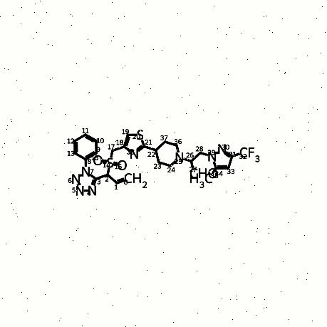 C=CC(c1nnnn1-c1ccccc1)S(=O)(=O)Cc1csc(C2CCN(C(C=O)Cn3nc(C(F)(F)F)cc3C)CC2)n1